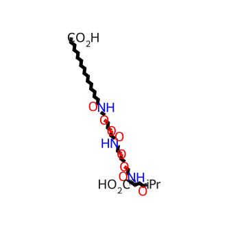 CC(C)C(=O)CC[C@H](NC(=O)COCCOCCNC(=O)COCCOCCNC(=O)CCCCCCCCCCCCCCCCC(=O)O)C(=O)O